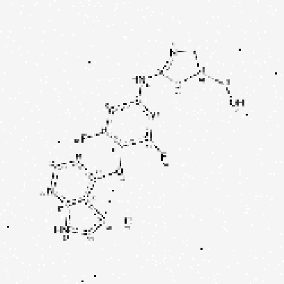 OC[C@H]1CN=C(Nc2cc(F)c(Oc3ccnc4[nH]cc(Cl)c34)c(F)c2)O1